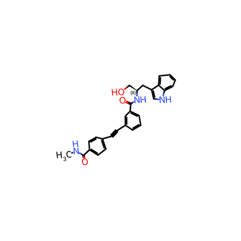 CNC(=O)c1ccc(C#Cc2cccc(C(=O)N[C@@H](CO)Cc3c[nH]c4ccccc34)c2)cc1